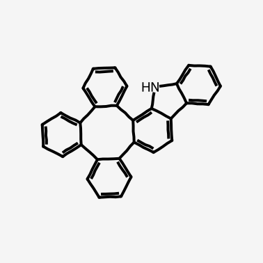 c1ccc2c(c1)-c1ccccc1-c1ccc3c([nH]c4ccccc43)c1-c1ccccc1-2